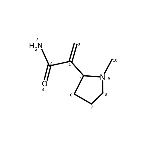 C=C(C(N)=O)C1CCCN1C